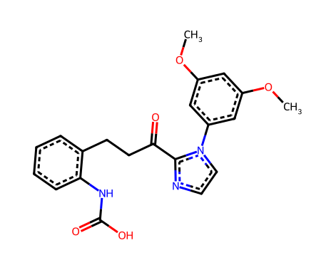 COc1cc(OC)cc(-n2ccnc2C(=O)CCc2ccccc2NC(=O)O)c1